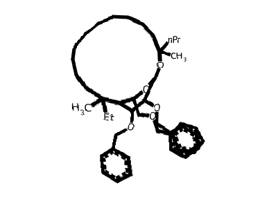 CCCC1(C)CCCCCCCCCCC(C)(CC)C2C(COCc3ccccc3)OC(O1)C(OCc1ccccc1)C2OCc1ccccc1